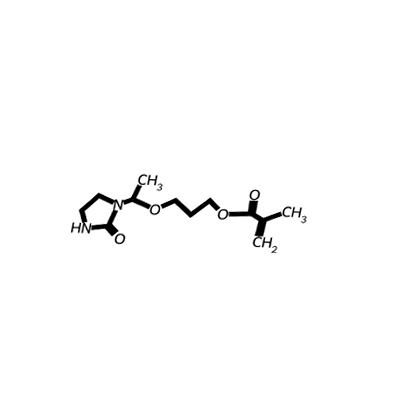 C=C(C)C(=O)OCCCOC(C)N1CCNC1=O